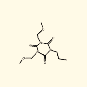 C=C1N(COC)C(=O)N(CCC)C(=O)N1COC